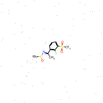 C/C(=N\[S+]([O-])C(C)(C)C)c1cccc(S(=O)(=O)C(F)(F)F)c1F